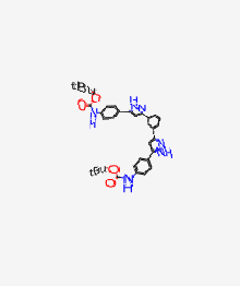 CC(C)(C)OC(=O)Nc1ccc(-c2cc(-c3cccc(-c4cc(-c5ccc(NC(=O)OC(C)(C)C)cc5)[nH]n4)c3)n[nH]2)cc1